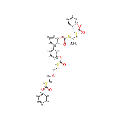 CC(CSC(=O)Oc1ccccc1)SC(=O)Oc1cccc(-c2cccc(OC(=O)SCCOCCSC(=O)Oc3ccccc3)c2)c1